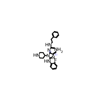 C=C(/N=C1\C(=C/N)N=C(Nc2ccccc2F)N1C1CCNCC1)NCCc1ccccc1